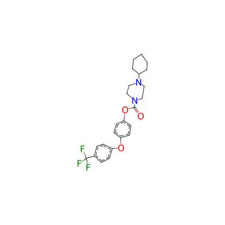 O=C(Oc1ccc(Oc2ccc(C(F)(F)F)cc2)cc1)N1CCN(C2CCCCC2)CC1